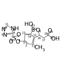 Cc1cc(OS(=O)(=O)c2nnc[nH]2)cc2c1C(CC(=O)O)OB2O